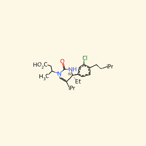 CC[C@@]1(c2ccc(CCC(C)C)c(Cl)c2)NC(=O)N(C(C)CC(=O)O)C=C1C(C)C